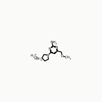 CN[C@H]1CCN(c2cc(COC)nc(N)n2)C1